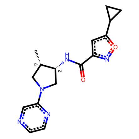 C[C@H]1CN(c2cnccn2)C[C@H]1NC(=O)c1cc(C2CC2)on1